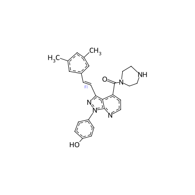 Cc1cc(C)cc(/C=C/c2nn(-c3ccc(O)cc3)c3nccc(C(=O)N4CCNCC4)c23)c1